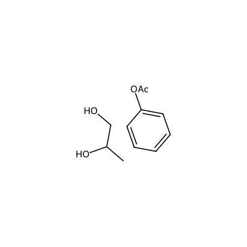 CC(=O)Oc1ccccc1.CC(O)CO